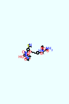 Cc1ncsc1-c1ccc(CN(C=O)[C@@H]2C[C@@H](O)CN2C(=O)[C@@H](N(C=O)C2(F)CC2)C(C)(C)C)c(OCCCCc2ccc(CO[C@H](C)[C@H](CCC(N)=O)NC(=O)OC(C)(C)C)cc2)c1